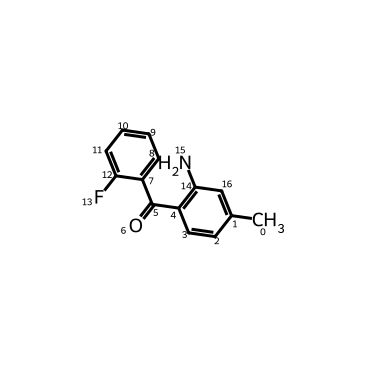 Cc1ccc(C(=O)c2ccccc2F)c(N)c1